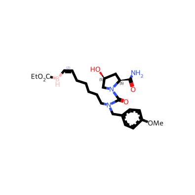 CCOC(=O)B/C=C\CCCCCN(Cc1ccc(OC)cc1)C(=O)N1C[C@@H](O)C[C@H]1C(N)=O